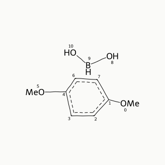 COc1ccc(OC)cc1.OBO